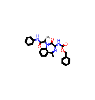 CC1=NC(NC(=O)OCc2ccccc2)C(=O)N(C(C(=O)Nc2ccccc2)C(C)C)c2ccccc21